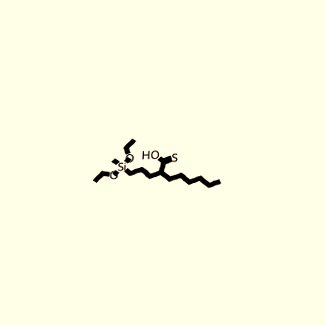 CCCCCCC(CCC[Si](C)(OCC)OCC)C(O)=S